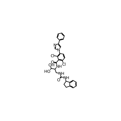 O=C(NCC(NC(=O)c1c(Cl)ccc(-n2cnc(-c3ccccc3)c2)c1Cl)C(O)O)NC1CCc2ccccc21